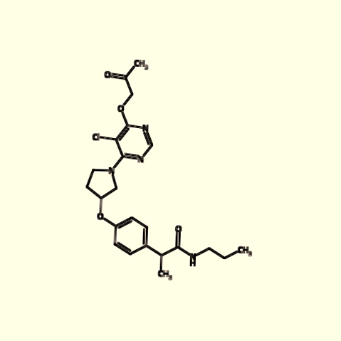 CCCNC(=O)C(C)c1ccc(OC2CCN(c3ncnc(OCC(C)=O)c3Cl)C2)cc1